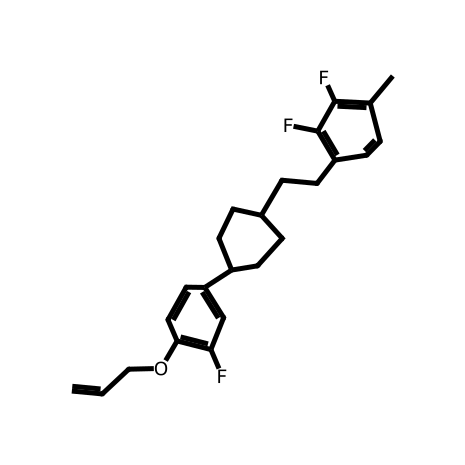 C=CCOc1ccc(C2CCC(CCc3ccc(C)c(F)c3F)CC2)cc1F